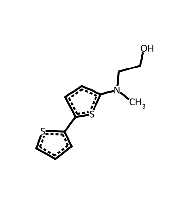 CN(CCO)c1ccc(-c2cccs2)s1